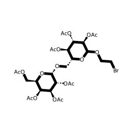 CC(=O)OC[C@H]1O[C@H](OC[C@H]2OC(OCCBr)[C@H](OC(C)=O)[C@@H](OC(C)=O)[C@@H]2OC(C)=O)[C@H](OC(C)=O)[C@@H](OC(C)=O)[C@H]1OC(C)=O